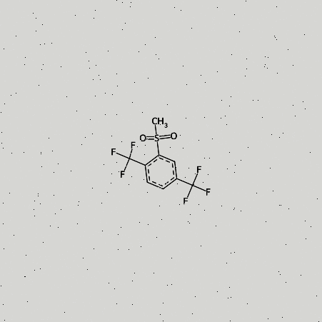 CS(=O)(=O)c1cc(C(F)(F)F)ccc1C(F)(F)F